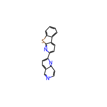 c1ccc2c(c1)sc1nc(-c3ccc4cnccc4n3)ccc12